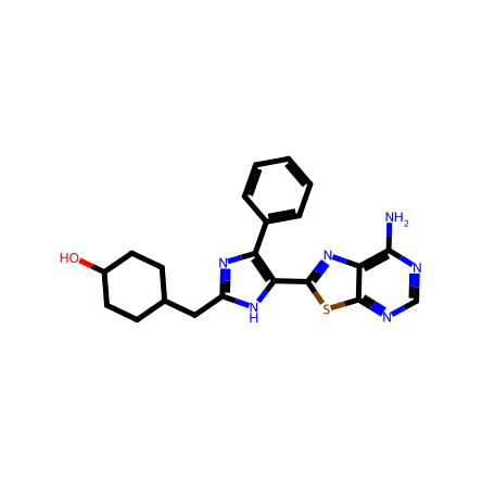 Nc1ncnc2sc(-c3[nH]c(CC4CCC(O)CC4)nc3-c3ccccc3)nc12